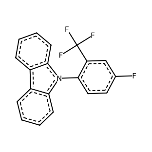 Fc1ccc(-n2c3ccccc3c3ccccc32)c(C(F)(F)F)c1